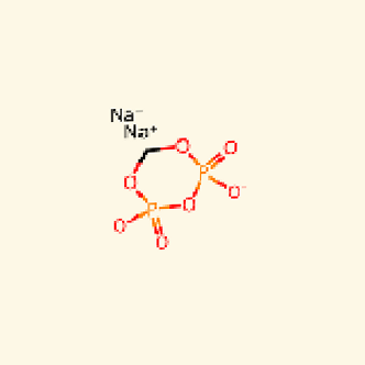 O=P1([O-])OCOP(=O)([O-])O1.[Na+].[Na+]